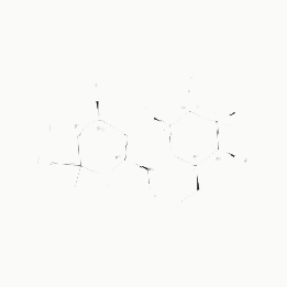 OC[C@H]1O[C@@H](O[C@H]2[C@H](O)[C@@H](O)C(O)([SiH3])O[C@@H]2CO)[C@H](O)[C@@H](O)[C@H]1O